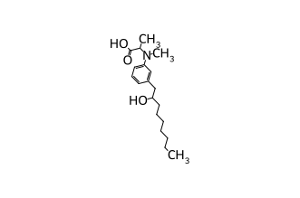 CCCCCCCC(O)Cc1cccc(N(C)C(C)C(=O)O)c1